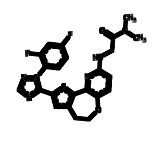 CN(C)C(=O)CNc1ccc2c(n1)-c1sc(-c3ncnn3-c3ccc(F)cc3F)cc1CCO2